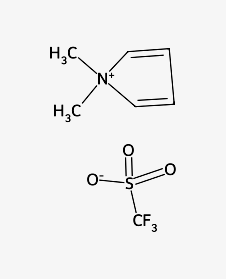 C[N+]1(C)C=CC=C1.O=S(=O)([O-])C(F)(F)F